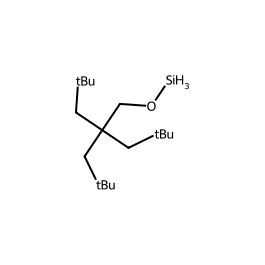 CC(C)(C)CC(CO[SiH3])(CC(C)(C)C)CC(C)(C)C